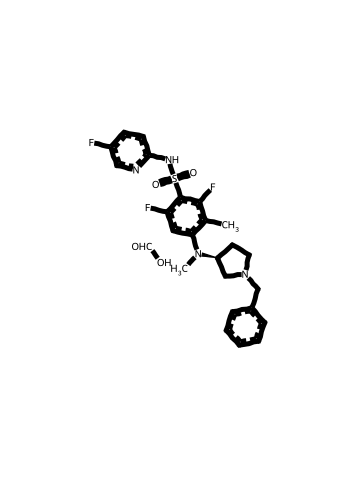 Cc1c(N(C)[C@H]2CCN(Cc3ccccc3)C2)cc(F)c(S(=O)(=O)Nc2ccc(F)cn2)c1F.O=CO